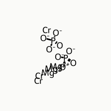 O=P([O-])([O-])[O-].O=P([O-])([O-])[O-].[Cr].[Cr].[Cr].[Mg+2].[Mg+2].[Mg+2]